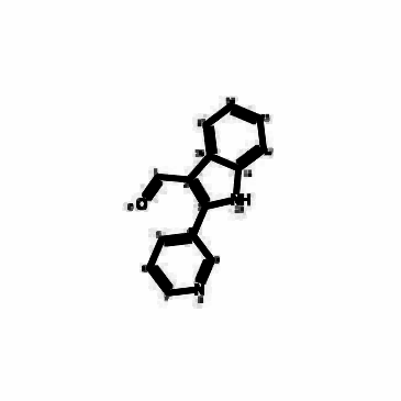 O=Cc1c(-c2cccnc2)[nH]c2ccccc12